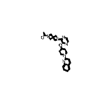 CC(=O)N1CC2(C1)CN(c1nccnc1OC1CCN(c3ccc4ccccc4n3)CC1)C2